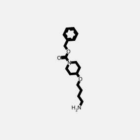 NCCCCOC1CCN(C(=O)OCc2ccccc2)CC1